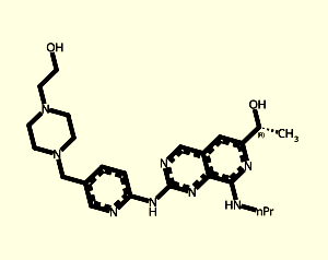 CCCNc1nc([C@@H](C)O)cc2cnc(Nc3ccc(CN4CCN(CCO)CC4)cn3)nc12